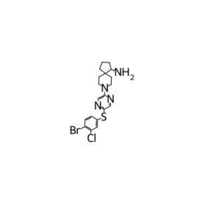 N[C@@H]1CCCC12CCN(c1cnc(Sc3ccc(Br)c(Cl)c3)cn1)CC2